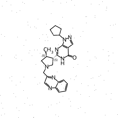 C[C@@H]1CN(Cc2cnc3ccccc3n2)C[C@H]1c1nc2c(cnn2C2CCCC2)c(=O)[nH]1